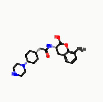 O=C(C[C@H]1CC[C@@H](N2CCNCC2)CC1)N[C@H]1Cc2cccc(C(=O)O)c2OB1O